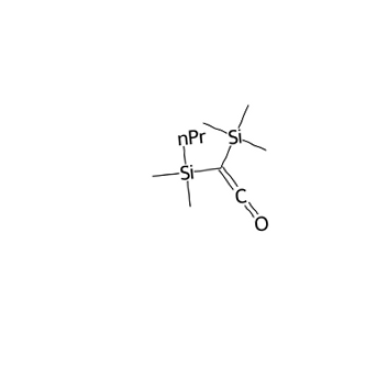 CCC[Si](C)(C)C(=C=O)[Si](C)(C)C